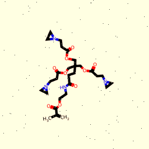 C=C(C)C(=O)OCCNC(=O)CCC(COC(=O)CCN1CC1)(COC(=O)CCN1CC1)COC(=O)CCN1CC1